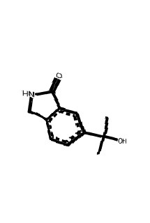 CC(C)(O)c1ccc2c(c1)C(=O)NC2